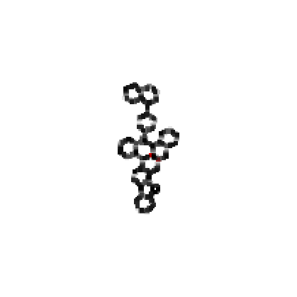 c1ccc(N(c2ccc(-c3cccc4ccccc34)cc2)c2cccc3ccccc23)c(-c2cccc3c2ccc2c4ccccc4oc32)c1